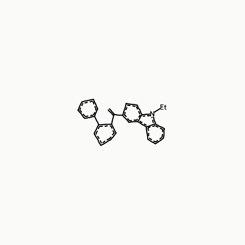 C=C(c1ccc2c(c1)c1ccccc1n2CC)c1ccccc1-c1ccccc1